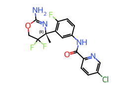 C[C@]1(c2cc(NC(=O)c3ccc(Cl)cn3)ccc2F)N=C(N)OCC1(F)F